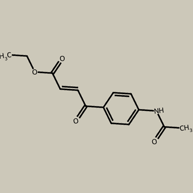 CCOC(=O)C=CC(=O)c1ccc(NC(C)=O)cc1